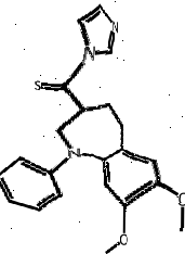 COc1cc2c(cc1OC)N(c1ccccc1)CC(C(=S)n1ccnc1)CC2